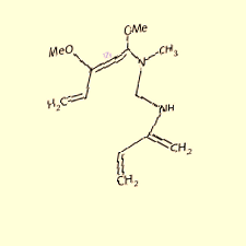 C=CC(=C)NCN(C)/C(OC)=C(\C=C)OC